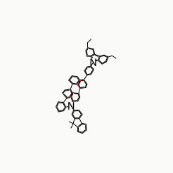 CCc1ccc2c(c1)c1cc(CC)ccc1n2-c1ccc(-c2ccc(-c3ccc(N(c4ccc5c(c4)C(C)(C)c4ccccc4-5)c4ccccc4-c4ccc(-c5ccccc5)cc4)cc3)cc2)cc1